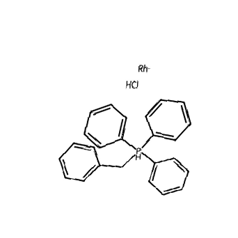 Cl.[Rh].c1ccc(C[PH](c2ccccc2)(c2ccccc2)c2ccccc2)cc1